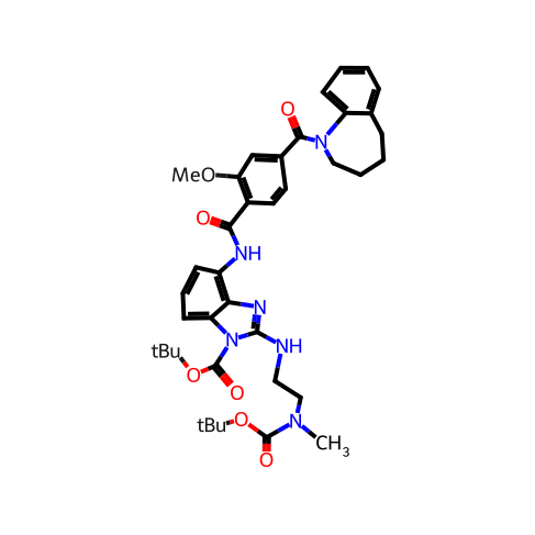 COc1cc(C(=O)N2CCCCc3ccccc32)ccc1C(=O)Nc1cccc2c1nc(NCCN(C)C(=O)OC(C)(C)C)n2C(=O)OC(C)(C)C